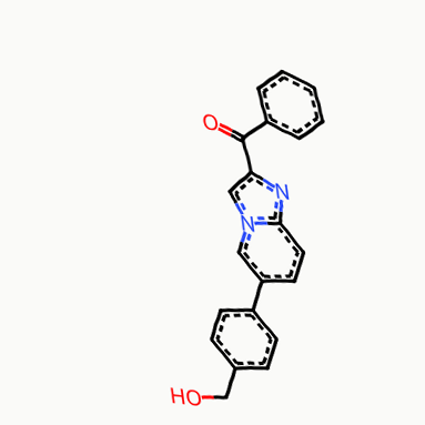 O=C(c1ccccc1)c1cn2cc(-c3ccc(CO)cc3)ccc2n1